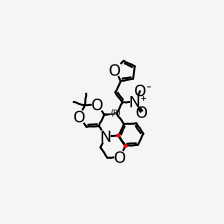 CC1(C)OC=C(N2CCOCC2)C([C@@H](C(=Cc2ccco2)[N+](=O)[O-])c2ccccc2)O1